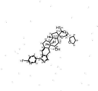 C[C@]12Cc3cnn(-c4ccc(F)nc4)c3C=C1CC[C@H]1[C@@H]3CC[C@](OC(=O)[C@@H]4CCCO4)(C(=O)S)[C@@]3(C)C[C@H](O)[C@@]12F